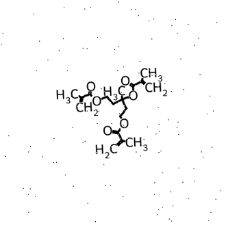 C=C(C)C(=O)OCCC(C)(CCOC(=O)C(=C)C)OC(=O)C(=C)C